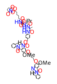 COc1cc2c(cc1OCCCCCOc1cc3c(cc1OC)C(=O)N1c4ccccc4C[C@H]1CN3C(=O)OCc1ccc(NC(=O)[C@H](C)NC(=O)C(NS(=O)(=O)NC(=O)CCCCC(=O)ON3C(=O)CCC3=O)C(C)C)cc1)N=C[C@@H]1Cc3ccccc3N1C2=O